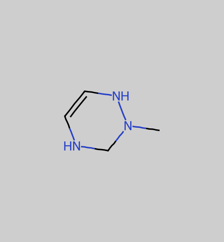 CN1CNC=CN1